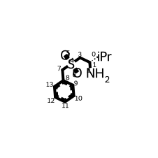 CC(C)[C@H](N)CS(=O)(=O)Cc1ccccc1